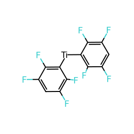 Fc1cc(F)c(F)[c]([Ti][c]2c(F)c(F)cc(F)c2F)c1F